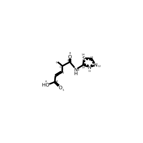 CC(C=CC(=O)O)C(=O)Nc1nncs1